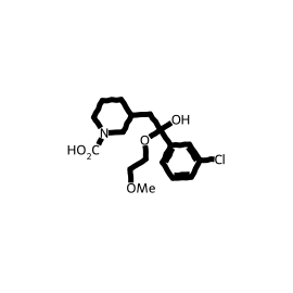 COCCOC(O)(CC1CCCN(C(=O)O)C1)c1cccc(Cl)c1